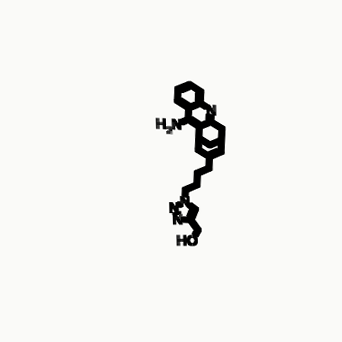 Nc1c2c(nc3ccccc13)CC1C=C(CCCCn3cc(CO)nn3)CC2C1